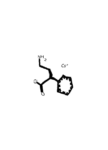 NCCC(C(=O)[O-])c1ccccc1.[Cs+]